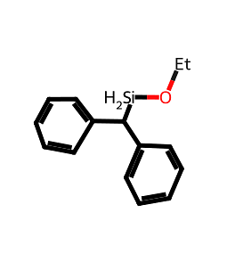 CCO[SiH2]C(c1ccccc1)c1ccccc1